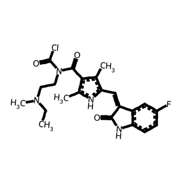 CCN(C)CCN(C(=O)Cl)C(=O)c1c(C)[nH]c(/C=C2\C(=O)Nc3ccc(F)cc32)c1C